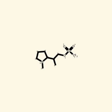 CC(COS(=O)(=O)C(F)(F)F)C1CCCN1C